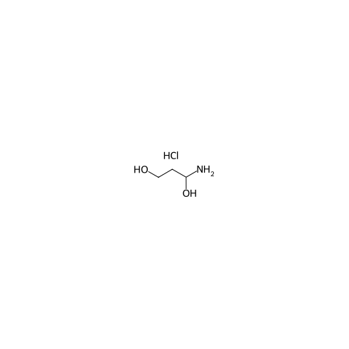 Cl.NC(O)CCO